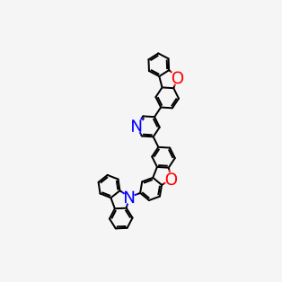 C1=CC2Oc3ccccc3C2C=C1c1cncc(-c2ccc3oc4ccc(-n5c6ccccc6c6ccccc65)cc4c3c2)c1